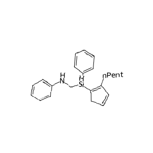 CCCCCC1=C([SiH](CNc2ccccc2)c2ccccc2)CC=C1